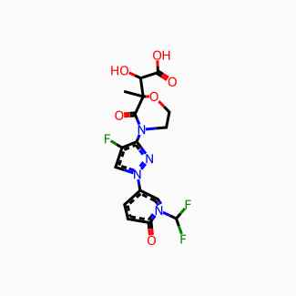 CC1(C(O)C(=O)O)OCCN(c2nn(-c3ccc(=O)n(C(F)F)c3)cc2F)C1=O